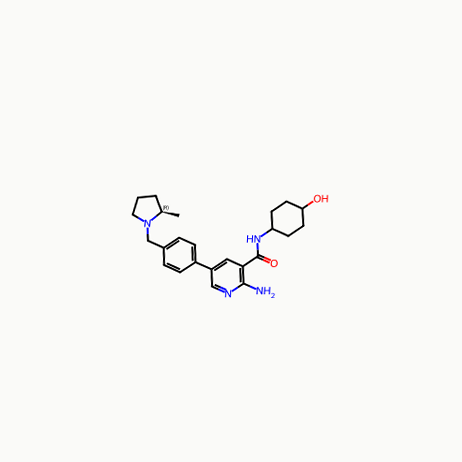 C[C@@H]1CCCN1Cc1ccc(-c2cnc(N)c(C(=O)NC3CCC(O)CC3)c2)cc1